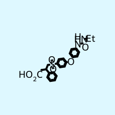 CCNC(=O)Nc1ccc(Oc2ccc(S(=O)(=O)CC(CC(=O)O)c3ccccc3)cc2)cc1